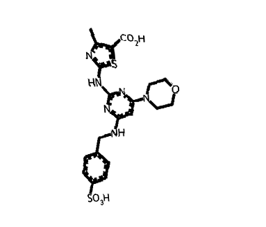 Cc1nc(Nc2nc(NCc3ccc(S(=O)(=O)O)cc3)cc(N3CCOCC3)n2)sc1C(=O)O